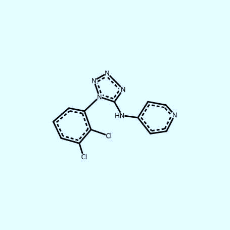 Clc1cccc(-n2nnnc2Nc2ccncc2)c1Cl